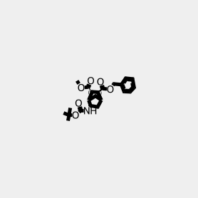 COC(=O)[C@H]1C2CC(CC2NC(=O)OC(C)(C)C)[C@@H]1C(=O)OCc1ccccc1